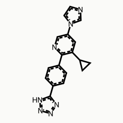 c1cn(-c2cnc(-c3ccc(-c4nnn[nH]4)cc3)c(C3CC3)c2)cn1